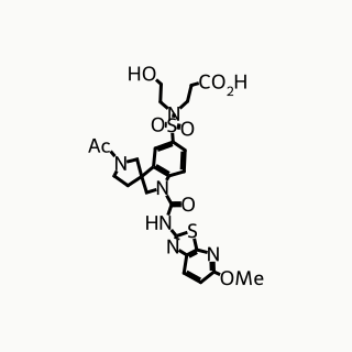 COc1ccc2nc(NC(=O)N3CC4(CCN(C(C)=O)C4)c4cc(S(=O)(=O)N(CCO)CCC(=O)O)ccc43)sc2n1